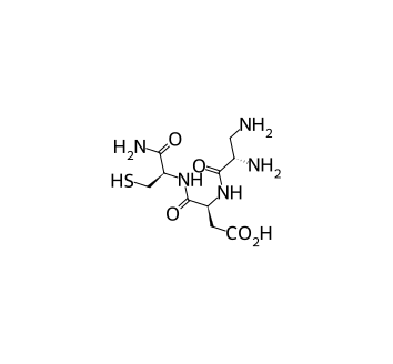 NC[C@H](N)C(=O)N[C@@H](CC(=O)O)C(=O)N[C@@H](CS)C(N)=O